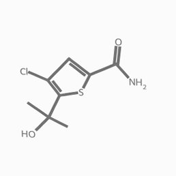 CC(C)(O)c1sc(C(N)=O)cc1Cl